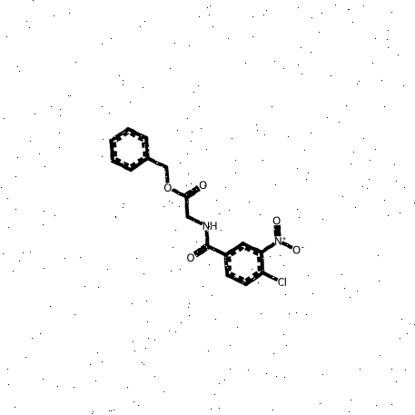 O=C(CNC(=O)c1ccc(Cl)c([N+](=O)[O-])c1)OCc1ccccc1